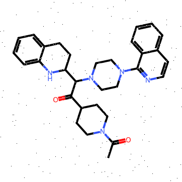 CC(=O)N1CCC(C(=O)C(C2CCc3ccccc3N2)N2CCN(c3nccc4ccccc34)CC2)CC1